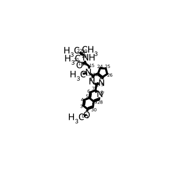 COc1ccc2cc(-c3nc4c(c(N(C)CC(=O)NC(C)(C)C)n3)CCC4)ncc2c1